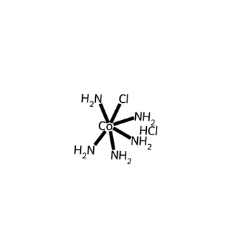 Cl.[NH2][Co]([NH2])([NH2])([NH2])([NH2])[Cl]